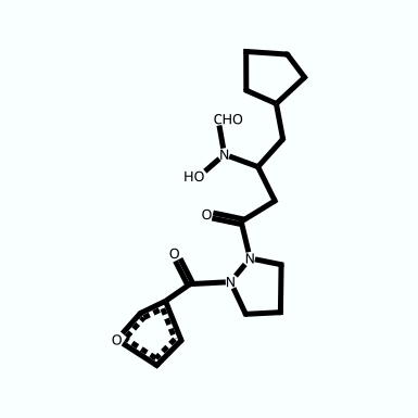 O=CN(O)C(CC(=O)N1CCCN1C(=O)c1ccoc1)CC1CCCC1